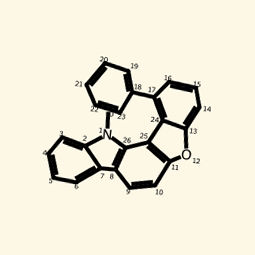 Cn1c2ccccc2c2ccc3oc4cccc(-c5ccccc5)c4c3c21